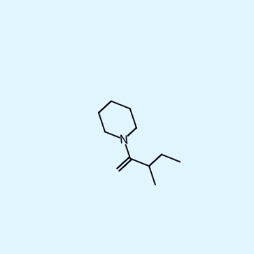 C=C(C(C)CC)N1CCCCC1